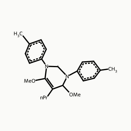 CCCC1=C(OC)N(c2ccc(C)cc2)[CH]N(c2ccc(C)cc2)C1OC